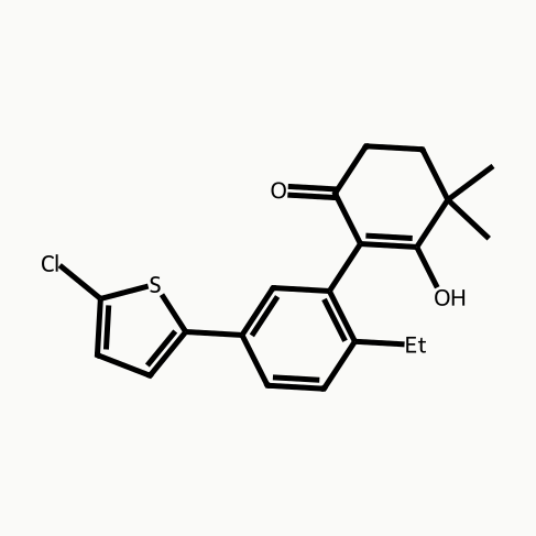 CCc1ccc(-c2ccc(Cl)s2)cc1C1=C(O)C(C)(C)CCC1=O